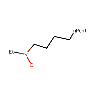 CCCCCCCCC[S+]([O-])CC